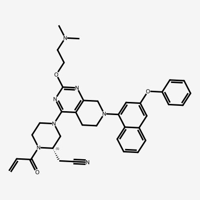 C=CC(=O)N1CCN(c2nc(OCCN(C)C)nc3c2CCN(c2cc(Oc4ccccc4)cc4ccccc24)C3)C[C@@H]1CC#N